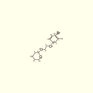 Cc1cc(OCCOC2CCCCO2)ccc1Br